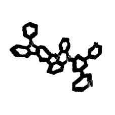 c1ccc(-n2c3ccccc3c3cc4c5cccc6c5n(c4cc32)-c2ccccc2N6c2cc(-c3cccnc3)cc(-c3cccnc3)c2)cc1